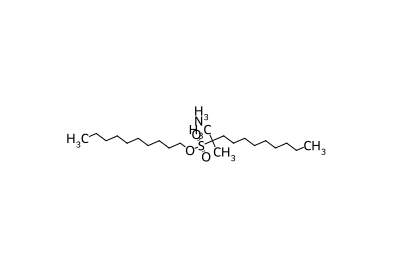 CCCCCCCCCCOS(=O)(=O)C(C)(C)CCCCCCCCC.N